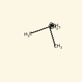 CCCCCCCCCCCCCCCCCCC(C)(CCCCCCCCCCCCCCCCCC)OS(=O)(=O)OC